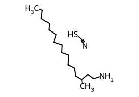 CCCCCCCCCCCCCC(C)CCN.N#CS